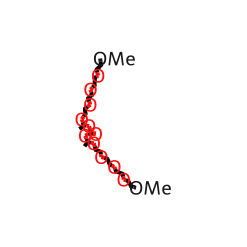 COCCOCCOCCOCCOC(C)OC(=O)OC(C)OCCOCCOCCOCCOC